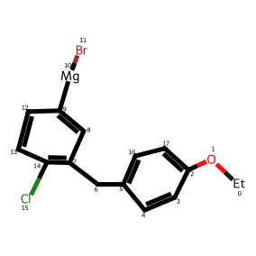 CCOc1ccc(Cc2c[c]([Mg][Br])ccc2Cl)cc1